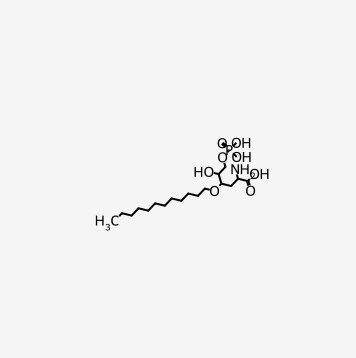 CCCCCCCCCCCCOC(CC(N)C(=O)O)C(O)COP(=O)(O)O